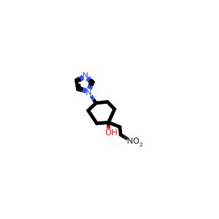 O=[N+]([O-])CCC1(O)CCC(n2ccnc2)CC1